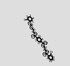 Cc1ccccc1OCOCCOC(=O)c1ccc(C(=O)OCCOC(=O)c2ccccc2C)cc1